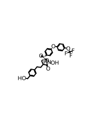 O=C(NO)C(CCc1ccc(CO)cc1)CS(=O)(=O)c1ccc(Oc2ccc(OC(F)(F)F)cc2)cc1